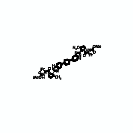 COC(=O)N[C@H](C(=O)N1CC[C@H](C)[C@H]1c1nc2cc(-c3ccc(-c4ccc5[nH]c([C@@H]6[C@@H](C)CCN6C(=O)[C@@H](NC(=O)OC)C(C)C)nc5c4)cc3)ccc2[nH]1)C(C)C